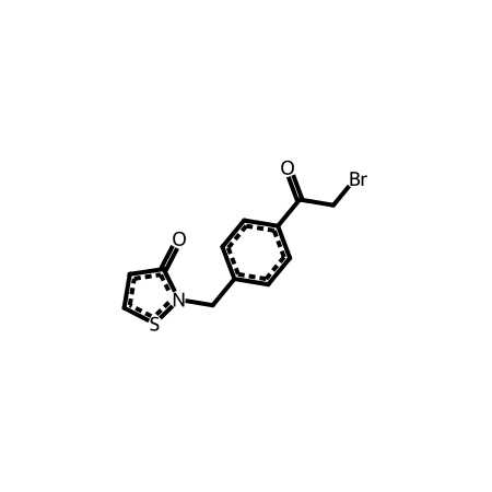 O=C(CBr)c1ccc(Cn2sccc2=O)cc1